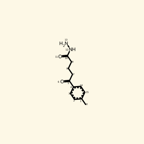 Cc1ccc(C(=O)CCCC(=O)NN)cc1